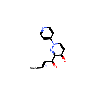 CN/C=C/C(=O)c1nn(-c2ccncc2)ccc1=O